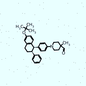 CC1(C=O)CCN(c2ccc([C@@H]3c4ccc(OC(C)(C)C)cc4CC[C@@H]3c3ccccc3)cc2)CC1